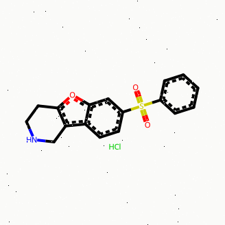 Cl.O=S(=O)(c1ccccc1)c1ccc2c3c(oc2c1)CCNC3